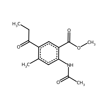 CCC(=O)c1cc(C(=O)OC)c(NC(C)=O)cc1C